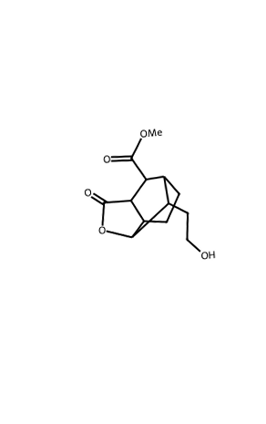 COC(=O)C1C2CCC3C(OC(=O)C31)C2CCO